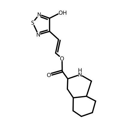 O=C(OC=Cc1nsnc1O)C1CC2CCCCC2CN1